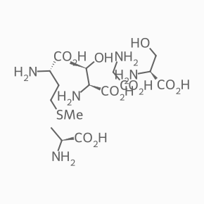 CSCC[C@H](N)C(=O)O.C[C@@H](O)[C@H](N)C(=O)O.C[C@H](N)C(=O)O.NCC(=O)O.N[C@@H](CO)C(=O)O